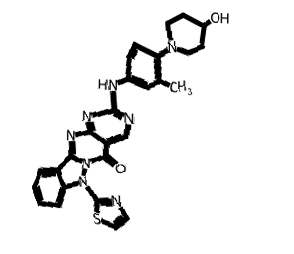 Cc1cc(Nc2ncc3c(=O)n4c(nc3n2)c2ccccc2n4-c2nccs2)ccc1N1CCC(O)CC1